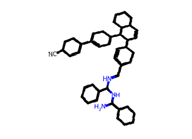 N#CC1CCC(C2=CCC(C3C(C4C=CC(CNC(NC(N)C5CCCCC5)C5CCCCC5)CC4)C=CC4CCCCC43)CC2)CC1